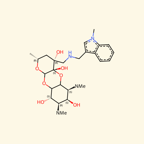 CN[C@@H]1[C@H](O)[C@H](NC)C2O[C@]3(O)C(OC2[C@H]1O)O[C@H](C)C[C@@]3(O)CNCc1cn(C)c2ccccc12